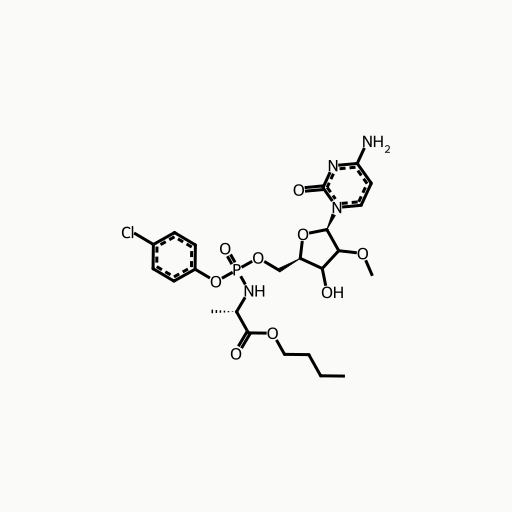 CCCCOC(=O)[C@H](C)NP(=O)(OC[C@H]1O[C@@H](n2ccc(N)nc2=O)C(OC)C1O)Oc1ccc(Cl)cc1